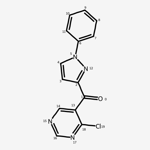 O=C(c1ccn(-c2ccccc2)n1)c1cncnc1Cl